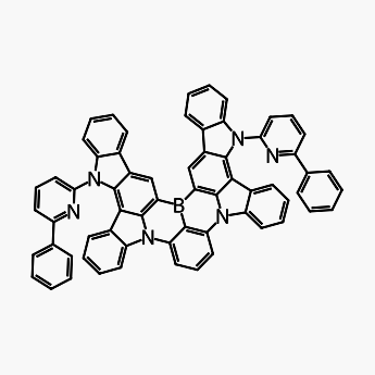 c1ccc(-c2cccc(-n3c4ccccc4c4cc5c6c(c7ccccc7n6-c6cccc7c6B5c5cc6c8ccccc8n(-c8cccc(-c9ccccc9)n8)c6c6c8ccccc8n-7c56)c43)n2)cc1